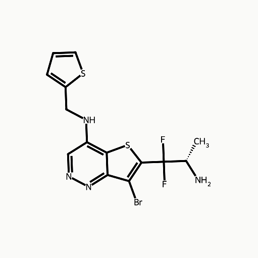 C[C@H](N)C(F)(F)c1sc2c(NCc3cccs3)cnnc2c1Br